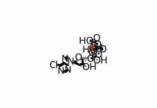 O=P(O)(O)OP(=O)(O)OP(=O)(O)OC[C@H]1O[C@@H](n2cnc3c(Cl)ncnc32)C[C@H]1O